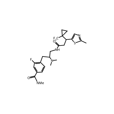 CNC(=O)c1ccc(CC(CNC(=O)CC(c2cnc(C)s2)C2(C(F)(F)F)CC2)N(C)C)c(F)c1